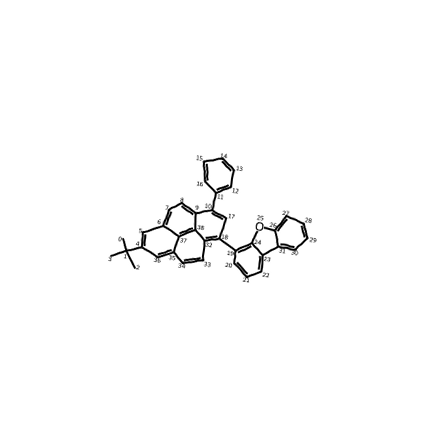 CC(C)(C)c1cc2ccc3c(-c4ccccc4)cc(-c4cccc5c4oc4ccccc45)c4ccc(c1)c2c34